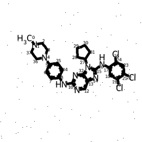 CN1CCN(c2ccc(Nc3ncc4nc(Nc5cc(Cl)c(Cl)cc5Cl)n(C5CCCC5)c4n3)cc2)CC1